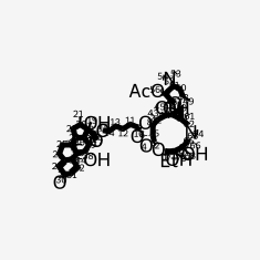 CC[C@H]1OC(=O)[C@H](C)[C@@H](OC(=O)CCCCOC(=O)[C@@]2(O)[C@H](C)CC3C4CCC5=CC(=O)C=C[C@]5(C)[C@@]4(F)[C@@H](O)C[C@@]32C)[C@H](C)[C@@H](O[C@@H]2O[C@H](C)C[C@@H](N(C)C)[C@H]2OC(C)=O)[C@]2(O)C[C@@]2(C)CN(C)[C@H](C)[C@@H](O)[C@]1(C)O